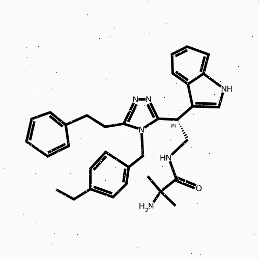 CCc1ccc(Cn2c(CCc3ccccc3)nnc2[C@@H](CNC(=O)C(C)(C)N)c2c[nH]c3ccccc23)cc1